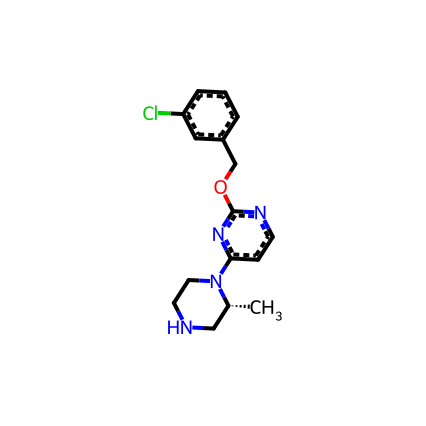 C[C@@H]1CNCCN1c1ccnc(OCc2cccc(Cl)c2)n1